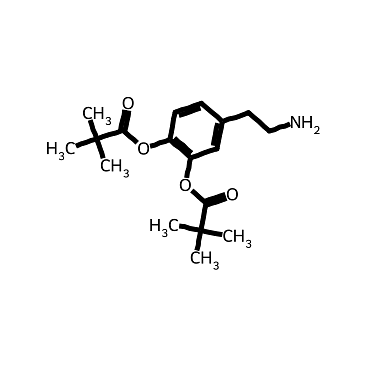 CC(C)(C)C(=O)Oc1ccc(CCN)cc1OC(=O)C(C)(C)C